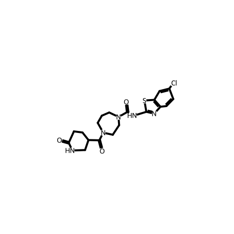 O=C1CCC(C(=O)N2CCCN(C(=O)Nc3nc4ccc(Cl)cc4s3)CC2)CN1